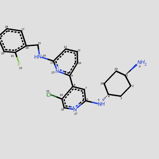 N[C@H]1CC[C@H](Nc2cc(-c3cccc(NCc4ccccc4F)n3)c(Cl)cn2)CC1